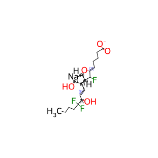 CCCCC(F)(F)[C@H](O)/C=C/[C@@H]1[C@H]2C(F)/C(=C/CCCC(=O)[O-])O[C@@H]2C[C@H]1O.[Na+]